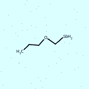 CCCO[CH2][SbH2]